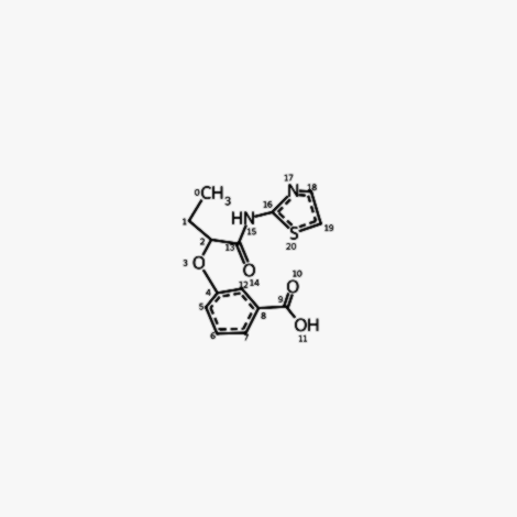 CCC(Oc1cccc(C(=O)O)c1)C(=O)Nc1nccs1